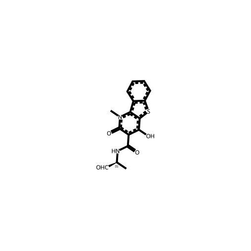 C[C@@H](C=O)NC(=O)c1c(O)c2sc3ccccc3c2n(C)c1=O